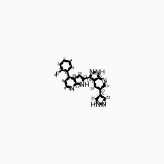 Fc1ccccc1-c1ccnc2[nH]c(-c3n[nH]c4ncc(-c5cn[nH]c5)cc34)cc12